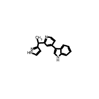 CC(c1cc(-c2c[nH]c3ccccc23)ccn1)c1cc[nH]n1